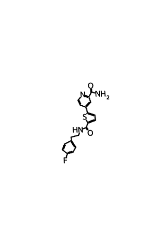 NC(=O)c1cc(-c2ccc(C(=O)NCCc3ccc(F)cc3)s2)ccn1